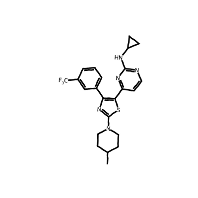 CC1CCN(c2nc(-c3cccc(C(F)(F)F)c3)c(-c3ccnc(NC4CC4)n3)s2)CC1